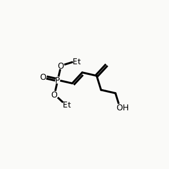 C=C(C=CP(=O)(OCC)OCC)CCO